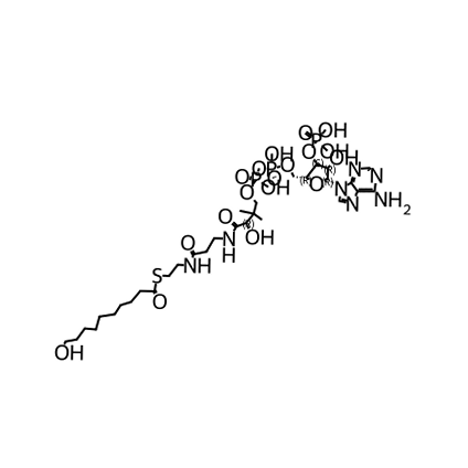 CC(C)(COP(=O)(O)OP(=O)(O)OC[C@H]1O[C@@H](n2cnc3c(N)ncnc32)[C@H](O)[C@@H]1OP(=O)(O)O)[C@@H](O)C(=O)NCCC(=O)NCCSC(=O)CCCCCCCCCO